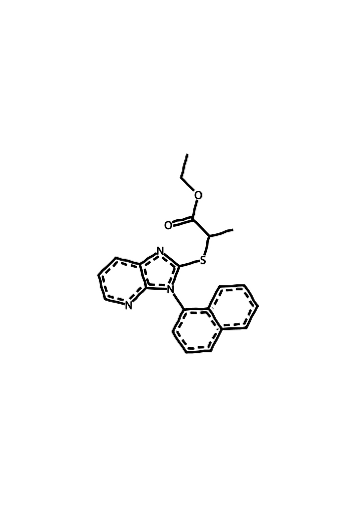 CCOC(=O)C(C)Sc1nc2cccnc2n1-c1cccc2ccccc12